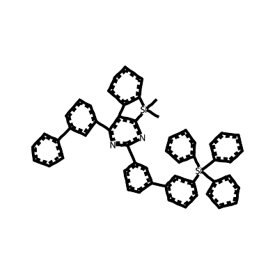 C[Si]1(C)c2ccccc2-c2c(-c3cccc(-c4ccccc4)c3)nc(-c3cccc(-c4cccc([Si](c5ccccc5)(c5ccccc5)c5ccccc5)c4)c3)nc21